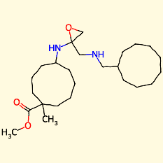 COC(=O)C1(C)CCCCC(NC2(CNCC3CCCCCCCC3)CO2)CCC1